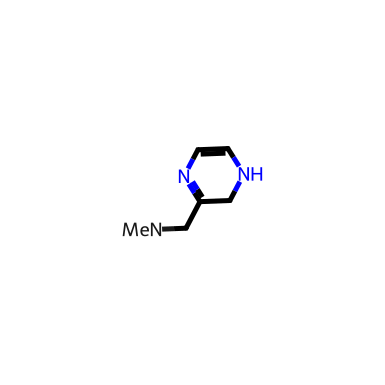 CNCC1=NC=CNC1